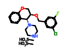 CS(=O)(=O)O.CS(=O)(=O)O.Fc1cc(Cl)cc(CO[C@@H]2COc3ccccc3[C@H]2N2CCNCC2)c1